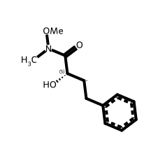 CON(C)C(=O)[C@@H](O)[CH]Cc1ccccc1